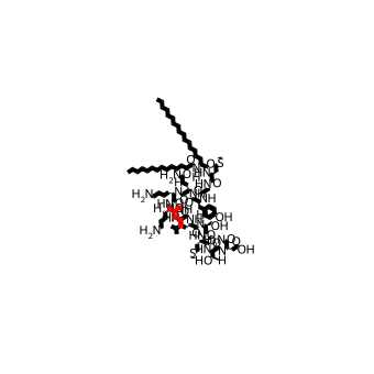 CCCCCCCCCCCCCCCCC(NC(=O)CCCCCCCCCCCCC)C(=O)N[C@@H](CCSC)C(=O)NCC(=O)N[C@@H](Cc1ccc(O)cc1)C(=O)N[C@@H](CCC(N)=O)C(=O)N[C@@H](CCCCN)C(=O)N[C@@H](CCCCN)C(=O)N[C@@H](CC(C)C)C(=O)N[C@@H](CCCNC(=N)N)C(=O)N[C@@H](CO)C(=O)N[C@@H](CCSC)C(=O)N[C@H](C(=O)N[C@@H](CC(=O)O)C(N)=O)[C@@H](C)O